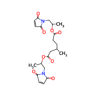 CC(CCC(=O)OC(C)CN1C(=O)C=CC1=O)CC(=O)OC(C)CN1C(=O)C=CC1=O